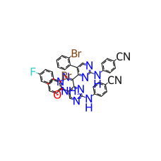 N#Cc1ccc(Nc2ncc(-c3ccccc3Br)c(C(=NN(C(N)=O)c3ccc(F)cc3)c3nc(Nc4ccc(C#N)cc4)ncc3-c3ccccc3Br)n2)cc1